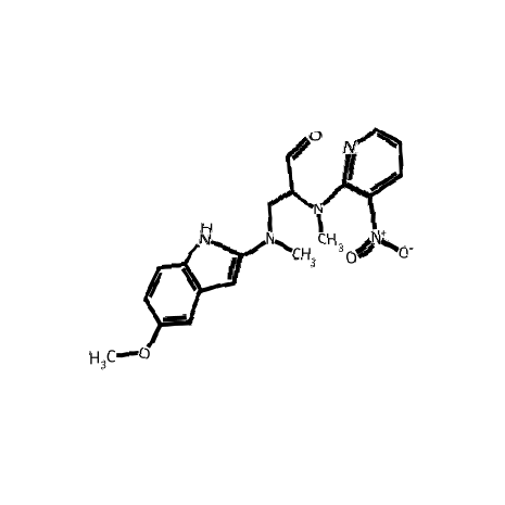 COc1ccc2[nH]c(N(C)CC(C=O)N(C)c3ncccc3[N+](=O)[O-])cc2c1